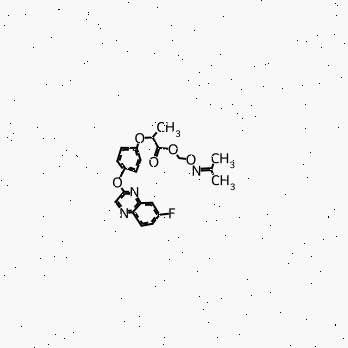 CC(C)=NOCOC(=O)C(C)Oc1ccc(Oc2cnc3ccc(F)cc3n2)cc1